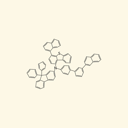 c1ccc(C2(c3ccccc3)c3ccccc3-c3ccc(N(c4ccc(-c5cccc(-c6ccc7ccccc7c6)c5)cc4)c4ccc(-c5cccc6ccccc56)c5sc6ccccc6c45)cc32)cc1